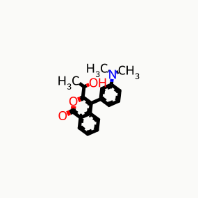 CC(O)c1oc(=O)c2ccccc2c1-c1cccc(N(C)C)c1